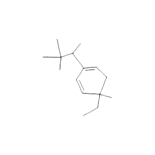 CCC1(C)C=CC(C(C)C(C)(C)C)=CC1